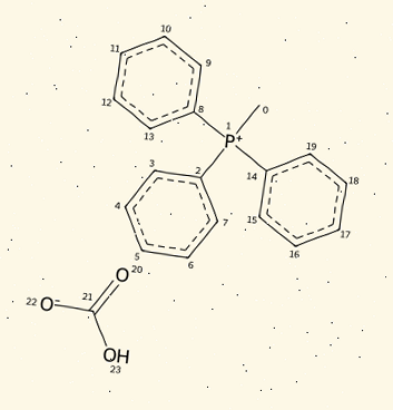 C[P+](c1ccccc1)(c1ccccc1)c1ccccc1.O=C([O-])O